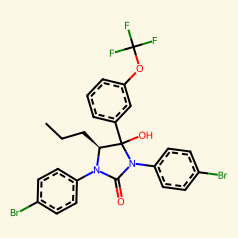 CCC[C@@H]1N(c2ccc(Br)cc2)C(=O)N(c2ccc(Br)cc2)C1(O)c1cccc(OC(F)(F)F)c1